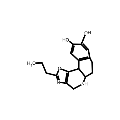 CCCc1nc2c(o1)C1c3cc(O)c(O)cc3CCC1NC2